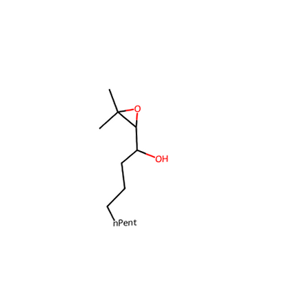 CCCCCCCCC(O)C1OC1(C)C